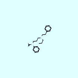 CCC(=O)N(c1ccccc1)[C@@H](C)[C@H]1CCCN(CCc2ccccc2)C1